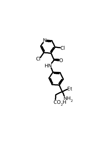 CCC(N)(CC(=O)O)c1ccc(NC(=O)c2c(Cl)cncc2Cl)cc1